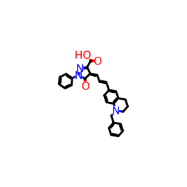 O=C(O)C1=NN(c2ccccc2)C(=O)/C1=C\C=C\c1ccc2c(c1)CCCN2Cc1ccccc1